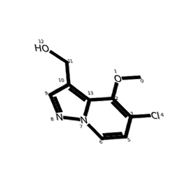 COc1c(Cl)ccn2ncc(CO)c12